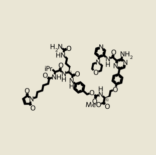 COC(=O)[C@H](CCOc1ccc(-c2cnc(N)c(C(=O)Nc3cnccc3N3CCOCC3)n2)cc1)NC(=O)OCc1ccc(NC(=O)[C@H](CCCNC(N)=O)NC(=O)C(NC(=O)CCCCCN2C(=O)C=CC2=O)C(C)C)cc1